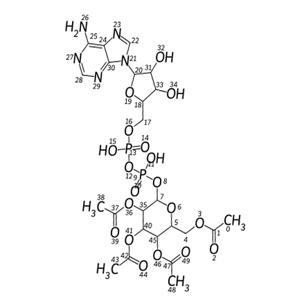 CC(=O)OCC1OC(OP(=O)(O)OP(=O)(O)OCC2OC(n3cnc4c(N)ncnc43)C(O)C2O)C(OC(C)=O)C(OC(C)=O)C1OC(C)=O